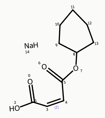 O=C(O)/C=C\C(=O)OC1CCCCC1.[NaH]